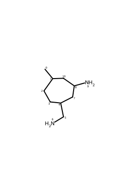 CC1CCC(CN)CC(N)C1